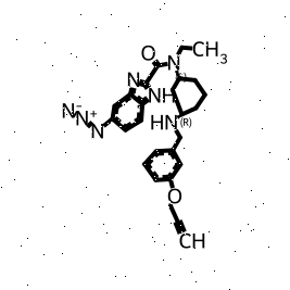 C#CCOc1cccc(CN[C@@H]2CCC[C@H](N(CC)C(=O)c3nc4cc(N=[N+]=[N-])ccc4[nH]3)C2)c1